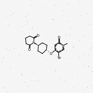 Cn1cc(Br)c(O[C@H]2CC[C@H](N3C(=O)CCCC3=O)CC2)cc1=O